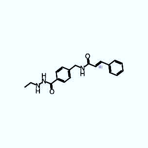 CCNNC(=O)c1ccc(CNC(=O)/C=C/c2ccccc2)cc1